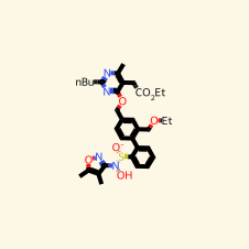 CCCCc1nc(C)c(CC(=O)OCC)c(OCc2ccc(-c3ccccc3[S+]([O-])N(O)c3noc(C)c3C)c(COCC)c2)n1